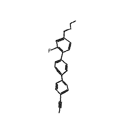 CC#Cc1ccc(-c2ccc(-c3ccc(CCCC)cc3F)cc2)cc1